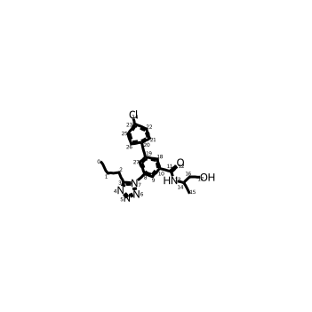 CCCc1nnnn1-c1cc(C(=O)NC(C)CO)cc(-c2ccc(Cl)cc2)c1